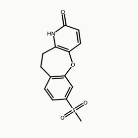 CS(=O)(=O)c1ccc2c(c1)Oc1ccc(=O)[nH]c1CC2